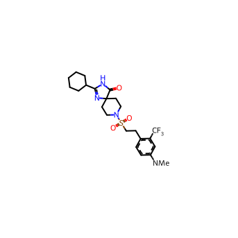 CNc1ccc(CCS(=O)(=O)N2CCC3(CC2)N=C(C2CCCCC2)NC3=O)c(C(F)(F)F)c1